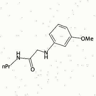 CCCNC(=O)CNc1cccc(OC)c1